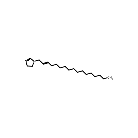 CCCCCCCCCCCCCC/C=C/CN1C=NCC1